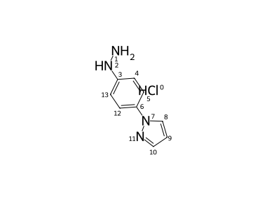 Cl.NNc1ccc(-n2cccn2)cc1